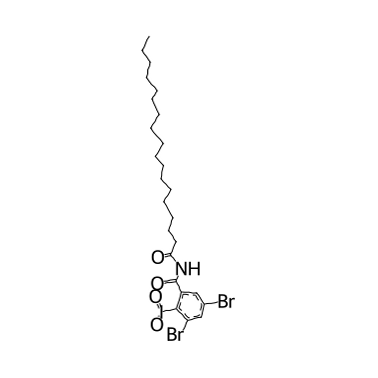 CCCCCCCCCCCCCCCCCC(=O)NC(=O)c1cc(Br)cc(Br)c1I(=O)=O